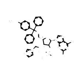 COc1ccc(C(OC[C@H]2O[C@@H](n3cnc4c(N)nc(Cl)nc43)C(O[Si](C)(C)C(C)(C)C)[C@@H]2OC(=S)n2ccnc2)(c2ccccc2)c2ccccc2)cc1